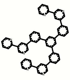 c1ccc(-c2cncc(-c3cccc(-c4cc(-c5cccc(-c6cncc(-c7ccccn7)c6)c5)cc(-c5cccc(-c6cncc(-c7ccccn7)c6)c5)c4)c3)c2)nc1